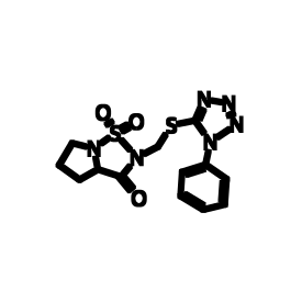 O=C1C2CCCN2S(=O)(=O)N1CSc1nnnn1-c1ccccc1